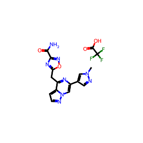 Cn1cc(-c2cn3nccc3c(Cc3nc(C(N)=O)no3)n2)cn1.O=C(O)C(F)(F)F